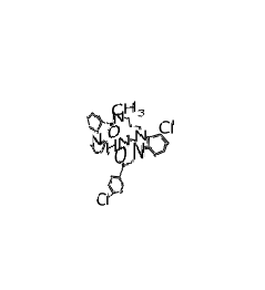 CN(CCCn1c(=N)n(CC(=O)c2ccc(Cl)cc2)c2cccc(Cl)c21)C(=O)c1ccccc1-n1cccc1